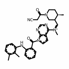 Cc1cccc(Nc2ccccc2C(=O)n2ccc3c(/[N+](C)=C\C4CN(C(=O)CC#N)CC[C@H]4C)ncnc32)c1C